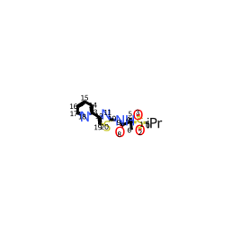 CC(C)S(=O)(=O)C(C)(C)C(=O)Nc1nc(-c2ccccn2)cs1